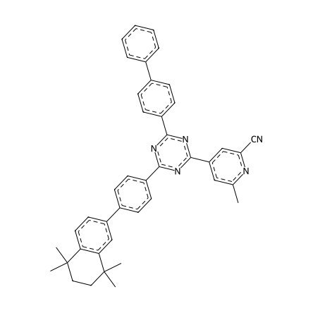 Cc1cc(-c2nc(-c3ccc(-c4ccccc4)cc3)nc(-c3ccc(-c4ccc5c(c4)C(C)(C)CCC5(C)C)cc3)n2)cc(C#N)n1